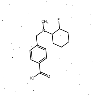 CN(Cc1ccc(C(=O)O)cc1)C1CCCCC1F